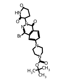 CC(C)(C)OC(=O)N1CCN(c2ccc3c(=O)n(C4CCC(=O)NC4=O)nc(Br)c3c2)CC1